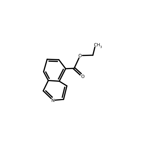 CCOC(=O)c1cccc2cnccc12